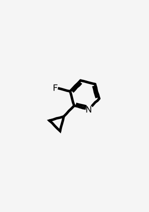 Fc1cccnc1C1CC1